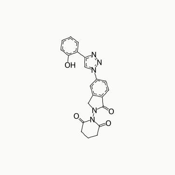 O=C1c2ccc(-n3cc(-c4ccccc4O)nn3)cc2CN1N1C(=O)CCCC1=O